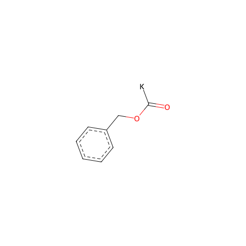 O=[C]([K])OCc1ccccc1